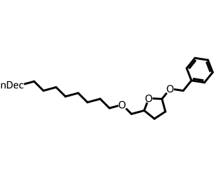 CCCCCCCCCCCCCCCCCCOCC1CCC(OCc2ccccc2)O1